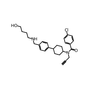 C#CCN(C(=O)c1ccc(Cl)cc1)C1CCC(c2ccc(CNCCCCO)cc2)CC1